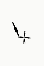 CC#CN[Si](CC)(CC)CC